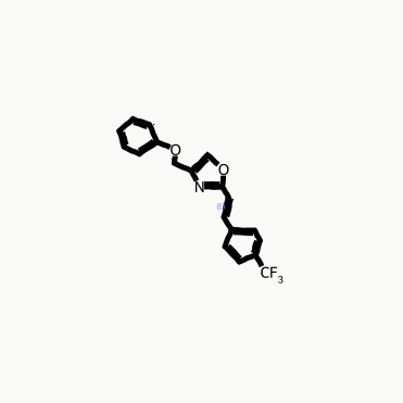 FC(F)(F)c1ccc(/C=C/c2nc(COc3[c]cccc3)co2)cc1